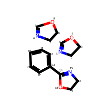 C1=NCCO1.C1=NCCO1.c1ccc(C2=NCCO2)cc1